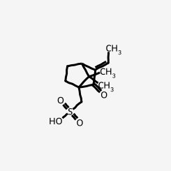 C/C=C1/C(=O)C2(CS(=O)(=O)O)CCC1C2(C)C